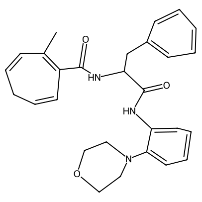 CC1=C(C(=O)NC(Cc2ccccc2)C(=O)Nc2ccccc2N2CCOCC2)C=CCC=C1